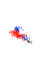 CC(=O)CCSCCNC(=O)CCNC(=O)[C@H](O)C(C)(C)COP(=O)(O)OP(=O)(O)OC[C@H]1O[C@@H](n2cnc3c(N)ncnc32)[C@H](O)[C@@H]1OP(=O)(O)O